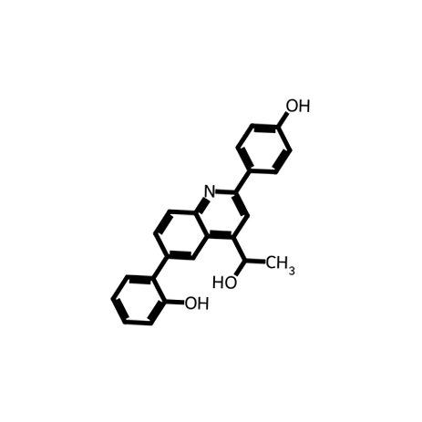 CC(O)c1cc(-c2ccc(O)cc2)nc2ccc(-c3ccccc3O)cc12